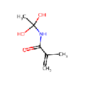 C=C(C)C(=O)NC(C)(O)O